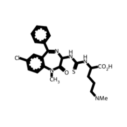 CNCCCC(NC(=S)NC1N=C(c2ccccc2)c2cc(Cl)ccc2N(C)C1=O)C(=O)O